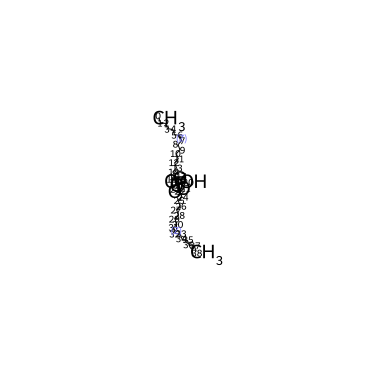 CCCCCC/C=C\CCCCCCCC(=O)OP(=O)(O)OC(=O)CCCCCCC/C=C\CCCCCC